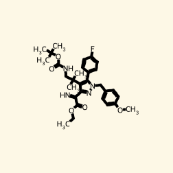 CCOC(=O)C(=N)c1nn(Cc2ccc(OC)cc2)c(-c2ccc(F)cc2)c1C(C)(C)CNC(=O)OC(C)(C)C